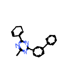 Cc1nc(C2=CCCC=C2)nc(-c2cccc(-c3ccccc3)c2)n1